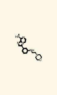 CNc1nccn2c(-c3cccc(NCCN4CCOCC4)c3)cnc12